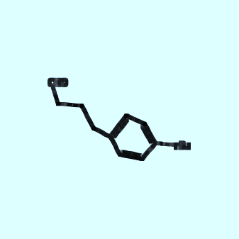 CCCCc1ccc(CCCC=O)cc1